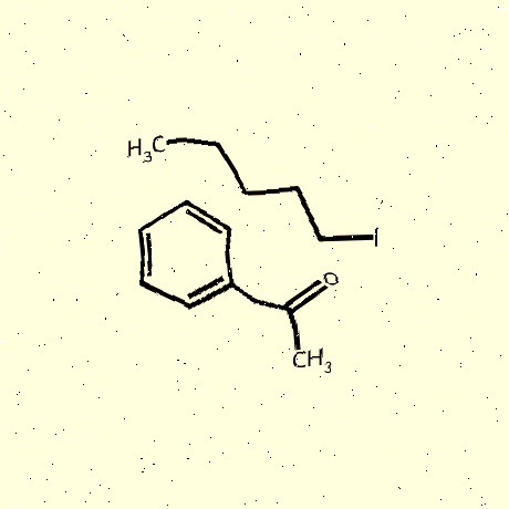 CC(=O)c1ccccc1.CCCCCI